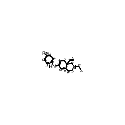 C=CC12CC=C(Nc3ccc(F)cc3)C=C1CCN(CC)C2